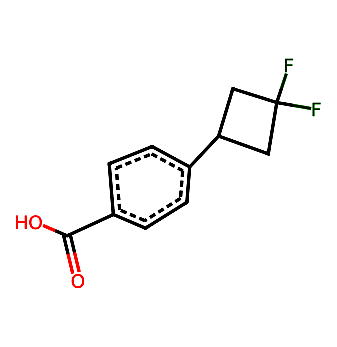 O=C(O)c1ccc(C2CC(F)(F)C2)cc1